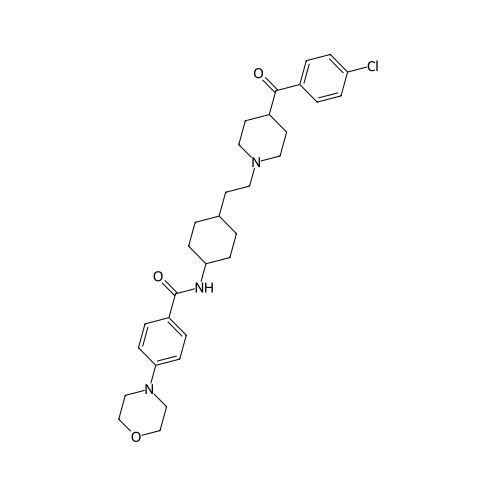 O=C(NC1CCC(CCN2CCC(C(=O)c3ccc(Cl)cc3)CC2)CC1)c1ccc(N2CCOCC2)cc1